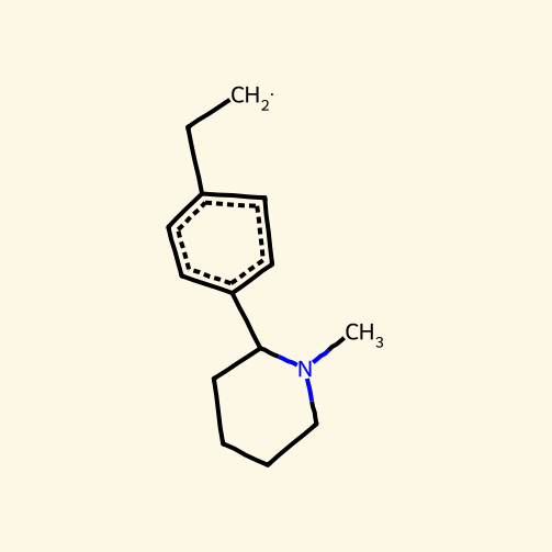 [CH2]Cc1ccc(C2CCCCN2C)cc1